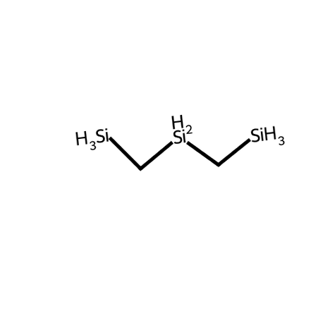 [SiH3]C[SiH2]C[SiH3]